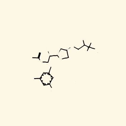 CC(=O)N[C@@H](Cc1cc(F)cc(F)c1)[C@@H](O)[C@H]1C[C@@H](OCC(O)C(C)(C)O)CN1.Cl